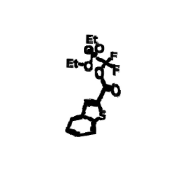 CCOP(=O)(OCC)C(F)(F)OC(=O)c1cc2ccccc2s1